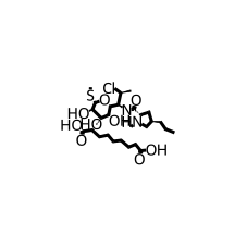 CCC[C@@H]1C[C@@H](C(=O)N[C@@H]([C@H]2O[C@H](SC)[C@H](O)[C@@H](O)[C@H]2O)[C@H](C)Cl)N(C)C1.O=C(O)CCCCCCCC(=O)O